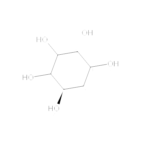 OC1C[C@@H](O)C(O)C(O)[C@@H]1O